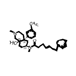 CC(=O)Oc1cccc([C@@]23CCN(C)C[C@@]2(O)CC[C@H](N(C)C(=O)CCCCCc2ccccc2)C3)c1